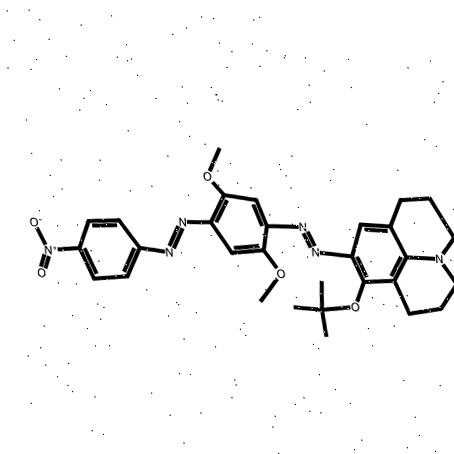 COc1cc(/N=N/c2cc3c4c(c2OC(C)(C)C)CCCN4CCC3)c(OC)cc1/N=N/c1ccc([N+](=O)[O-])cc1